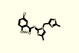 COc1ccc(Cl)cc1C(=O)/N=c1\sc(C)cn1Cc1csc(C)n1